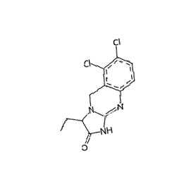 CCC1C(=O)NC2=Nc3ccc(Cl)c(Cl)c3CN21